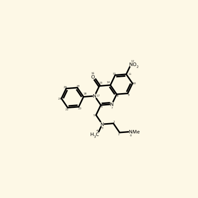 CNCCN(C)Cc1nc2ccc([N+](=O)[O-])cc2c(=O)n1-c1ccccc1